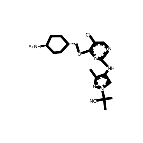 CC(=O)N[C@H]1CC[C@H](COc2nc(Nc3cn(C(C)(C)C#N)nc3C)ncc2Cl)CC1